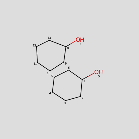 OC1CCCCC1.OC1CCCCC1